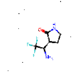 NC([C@@H]1CCNC1=O)C(F)(F)F